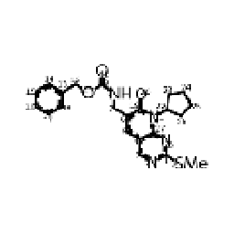 CSc1ncc2cc(CNC(=O)OCc3ccccc3)c(=O)n(C3CCCC3)c2n1